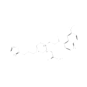 COc1ccc2nccc(C(F)CC[C@@H]3CCN(CCCc4nccs4)C[C@@H]3CC(=O)O)c2c1